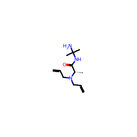 C=CCN(CC=C)[C@@H](C)C(=O)NC(C)(C)N